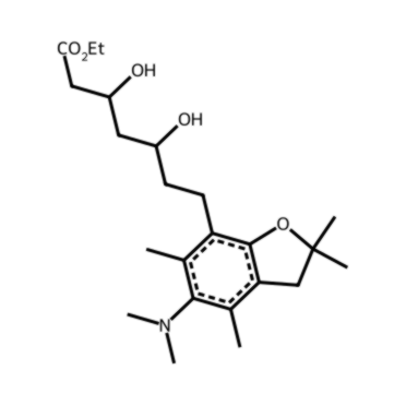 CCOC(=O)CC(O)CC(O)CCc1c(C)c(N(C)C)c(C)c2c1OC(C)(C)C2